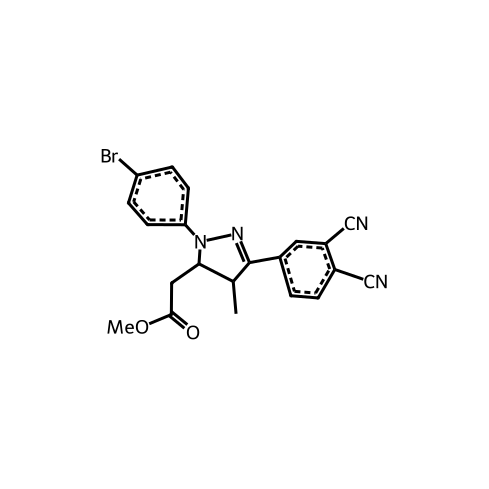 COC(=O)CC1C(C)C(c2ccc(C#N)c(C#N)c2)=NN1c1ccc(Br)cc1